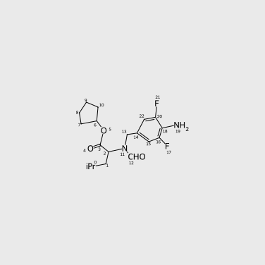 CC(C)CC(C(=O)OC1CCCC1)N(C=O)Cc1cc(F)c(N)c(F)c1